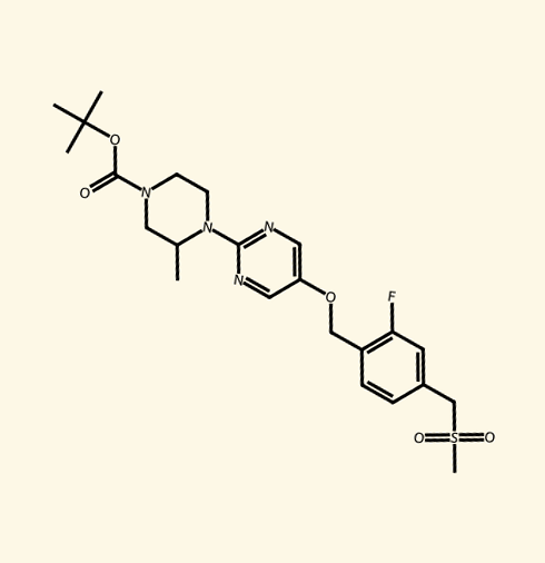 CC1CN(C(=O)OC(C)(C)C)CCN1c1ncc(OCc2ccc(CS(C)(=O)=O)cc2F)cn1